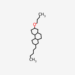 CCCCCC1CCC2C(CCC3CC(OCCCC)CCC32)C1